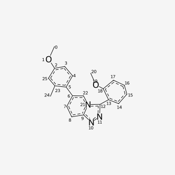 COc1ccc(-c2ccc3nnc(-c4ccccc4OC)n3c2)c(C)c1